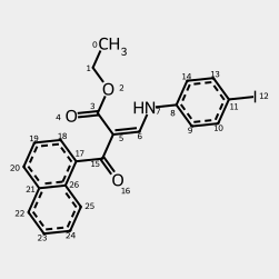 CCOC(=O)C(=CNc1ccc(I)cc1)C(=O)c1cccc2ccccc12